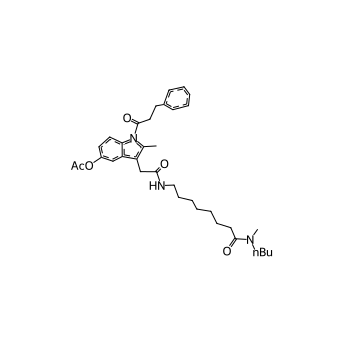 CCCCN(C)C(=O)CCCCCCCNC(=O)Cc1c(C)n(C(=O)CCc2ccccc2)c2ccc(OC(C)=O)cc12